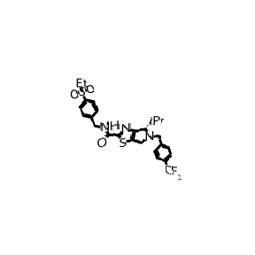 CCS(=O)(=O)c1ccc(CNC(=O)c2nc3c(s2)CN(Cc2ccc(C(F)(F)F)cc2)[C@H]3C(C)C)cc1